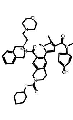 Cc1c(C(=O)N(C)c2ccc(O)cc2)cc(-c2cc3c(cc2C(=O)N2Cc4ccccc4C[C@H]2CCN2CCOCC2)CN(C(=O)OC2CCCCC2)CC3)n1C